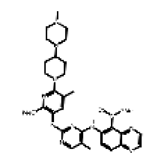 CCN(SC)c1c(Nc2nc(Nc3cc(C)c(N4CCC(N5CCN(C)CC5)CC4)nc3OC)ncc2C)ccc2nccnc12